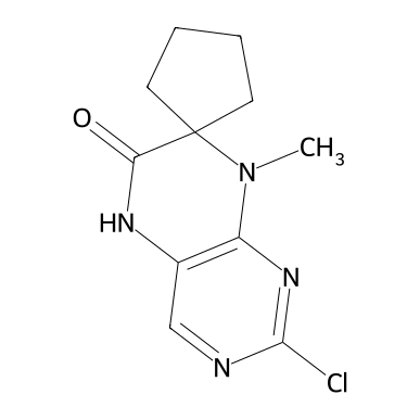 CN1c2nc(Cl)ncc2NC(=O)C12CCCC2